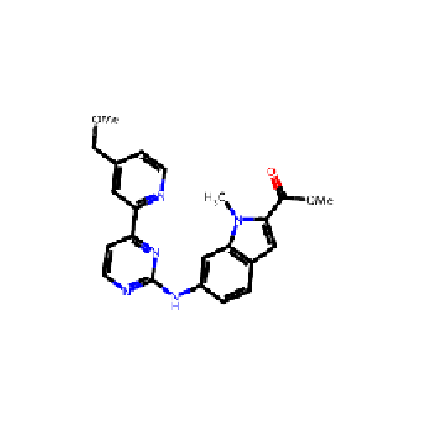 COCc1ccnc(-c2ccnc(Nc3ccc4cc(C(=O)OC)n(C)c4c3)n2)c1